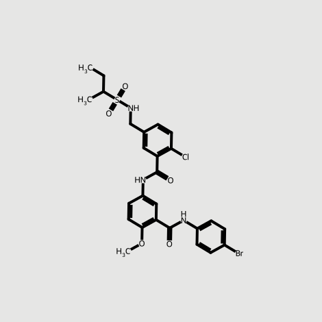 CCC(C)S(=O)(=O)NCc1ccc(Cl)c(C(=O)Nc2ccc(OC)c(C(=O)Nc3ccc(Br)cc3)c2)c1